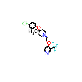 CC1(Oc2ccc(Cl)cc2)CCN(CCOc2ccncc2C(F)(F)F)CC1